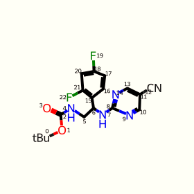 CC(C)(C)OC(=O)NCC(Nc1ncc(C#N)cn1)c1ccc(F)cc1F